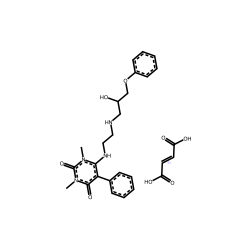 Cn1c(NCCNCC(O)COc2ccccc2)c(-c2ccccc2)c(=O)n(C)c1=O.O=C(O)/C=C/C(=O)O